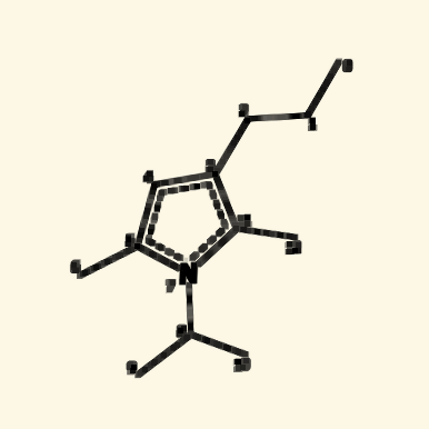 CCCc1cc(C)n(C(C)C)c1C